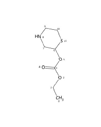 CCOC(=O)OC1CNCCS1